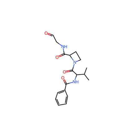 CC(C)C(NC(=O)c1ccccc1)C(=O)N1CCC1C(=O)NCC=O